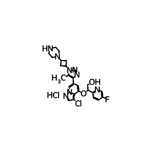 Cc1c(-c2cc(OC(CO)c3ccc(F)cn3)c3c(Cl)cnn3c2)nnn1C1CC(N2CCNCC2)C1.Cl